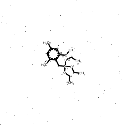 CCO[Si](Cc1c(C)cc(C)cc1OC)(OCC)OCC